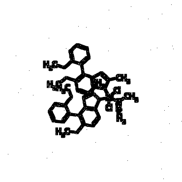 CCc1ccccc1-c1c(CC)ccc2c1C=C(C)[CH]2[Zr]([Cl])([Cl])([CH]1C(C)=Cc2c1ccc(CC)c2-c1ccccc1CC)[SiH](C)C